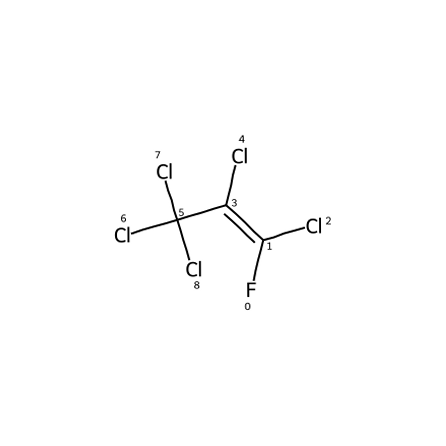 F/C(Cl)=C(/Cl)C(Cl)(Cl)Cl